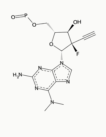 C#C[C@@]1(F)[C@H](O)[C@@H](COP=O)O[C@H]1n1cnc2c(N(C)C)nc(N)nc21